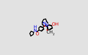 C=CCN1CCC2CCC(C1)N2C(C1=CCC(C(=O)NC2CCCC2)C=C1)c1cccc(O)c1